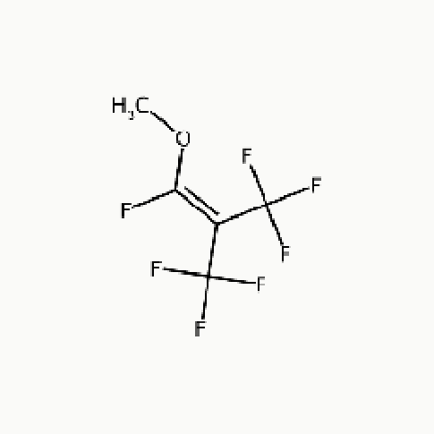 COC(F)=C(C(F)(F)F)C(F)(F)F